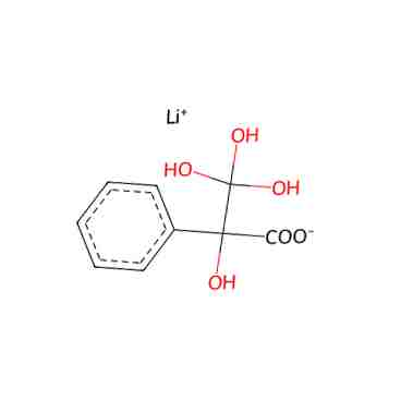 O=C([O-])C(O)(c1ccccc1)C(O)(O)O.[Li+]